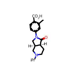 Cc1cc(N2C[C@@H]3CN(C(C)C)CC[C@@H]3C2=O)ccc1C(=O)O